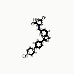 CCN1CCN(c2ccc(-c3nnc4ccc(/C=C5\SC(=O)NC5=O)nn34)cc2)CC1